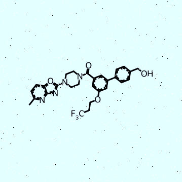 Cc1ccc2oc(N3CCN(C(=O)c4cc(OCCC(F)(F)F)cc(-c5ccc(CO)cc5)c4)CC3)nc2n1